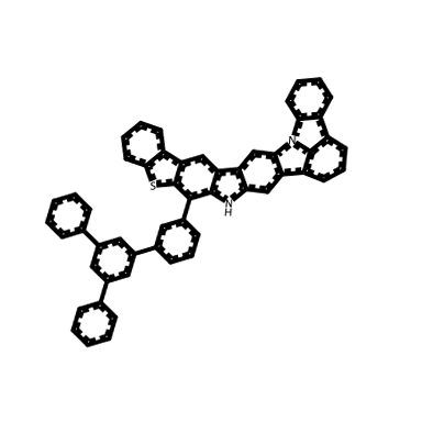 c1ccc(-c2cc(-c3ccccc3)cc(-c3cccc(-c4c5[nH]c6cc7c8cccc9c%10ccccc%10n(c7cc6c5cc5c4sc4ccccc45)c98)c3)c2)cc1